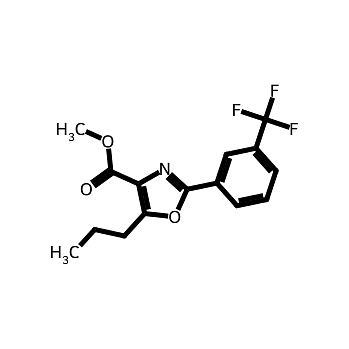 CCCc1oc(-c2cccc(C(F)(F)F)c2)nc1C(=O)OC